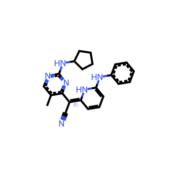 Cc1cnc(NC2CCCC2)nc1/C(C#N)=C1/C=CC=C(Nc2ccccc2)N1